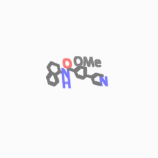 COc1cc(-c2ccncc2)ccc1C(=O)NC1CCCc2ccccc21